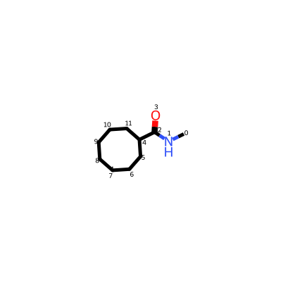 CNC(=O)C1CC[CH]CCCC1